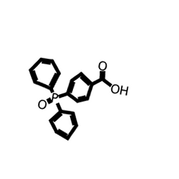 O=C(O)c1ccc(P(=O)(c2ccccc2)c2ccccc2)cc1